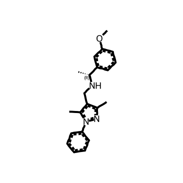 COc1cccc([C@@H](C)NCc2c(C)nn(-c3ccccc3)c2C)c1